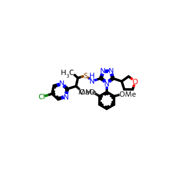 COc1cccc(OC)c1-n1c(NSC(C)C(OC)c2ncc(Cl)cn2)nnc1C1CCOC1